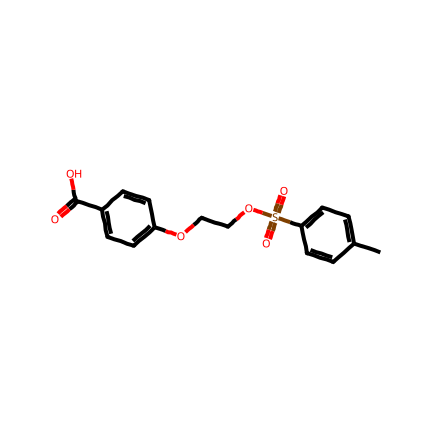 Cc1ccc(S(=O)(=O)OCCOc2ccc(C(=O)O)cc2)cc1